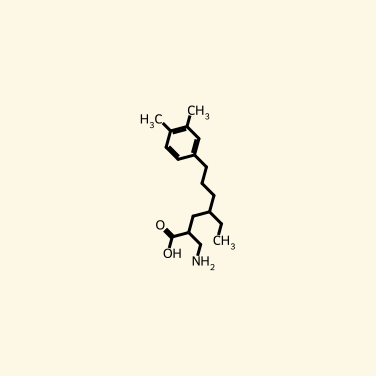 CCC(CCCc1ccc(C)c(C)c1)CC(CN)C(=O)O